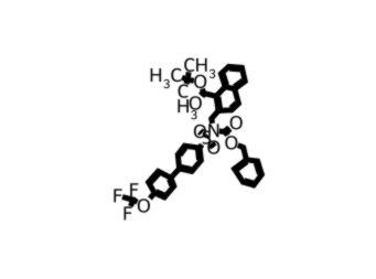 CC(C)(C)OC(=O)c1c(CN(C(=O)OCc2ccccc2)S(=O)(=O)c2ccc(-c3ccc(OC(F)(F)F)cc3)cc2)ccc2ccccc12